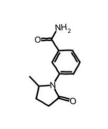 CC1CCC(=O)N1c1cccc(C(N)=O)c1